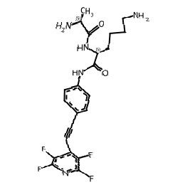 C[C@H](N)C(=O)N[C@@H](CCCCN)C(=O)Nc1ccc(C#Cc2c(F)c(F)nc(F)c2F)cc1